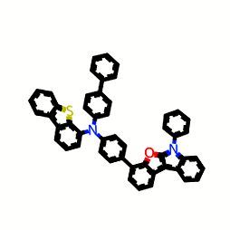 c1ccc(-c2ccc(N(c3ccc(-c4cccc5c4oc4c5c5ccccc5n4-c4ccccc4)cc3)c3cccc4c3sc3ccccc34)cc2)cc1